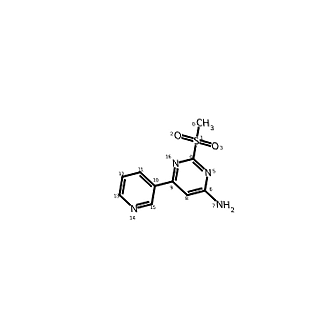 CS(=O)(=O)c1nc(N)cc(-c2cccnc2)n1